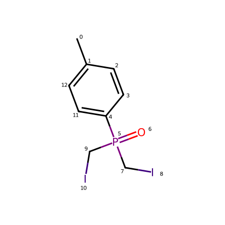 Cc1ccc(P(=O)(CI)CI)cc1